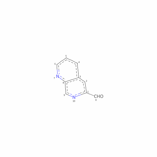 O=Cc1cc2cccnc2cn1